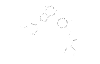 CN/C=C(\C=N)c1cc2c(-c3ccc(CNC(=O)/C(C=N)=C/N)c(C(F)(F)F)c3)ncnn2c1